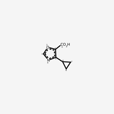 O=C(O)c1ocnc1C1CC1